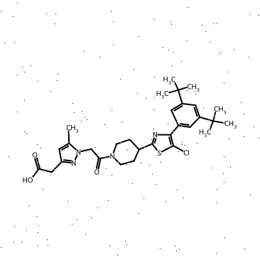 Cc1cc(CC(=O)O)nn1CC(=O)N1CCC(c2nc(-c3cc(C(C)(C)C)cc(C(C)(C)C)c3)c(Cl)s2)CC1